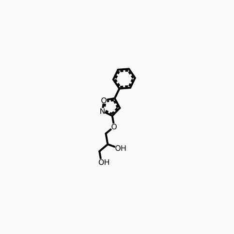 OCC(O)COc1cc(-c2ccccc2)on1